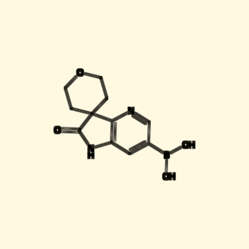 O=C1Nc2cc(B(O)O)cnc2C12CCOCC2